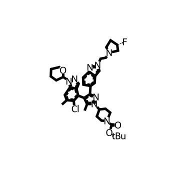 Cc1cc2c(cnn2C2CCCCO2)c(-c2c(-c3ccc4nn(CCN5CC[C@H](F)C5)cc4c3)nn(C3CCN(C(=O)OC(C)(C)C)CC3)c2C)c1Cl